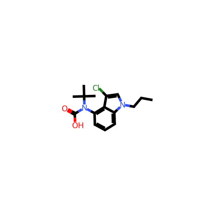 CCCn1cc(Cl)c2c(N(C(=O)O)C(C)(C)C)cccc21